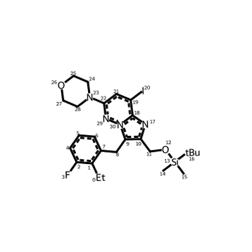 CCc1c(F)cccc1Cc1c(CO[Si](C)(C)C(C)(C)C)nc2c(I)cc(N3CCOCC3)nn12